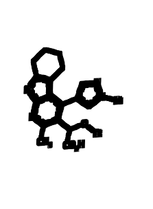 CCOC(C(=O)O)c1c(C)nc2sc3c(c2c1-c1cnn(CC)c1)CCCC3